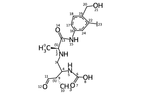 C[C@H](NCC(NC(=O)O)[C@H](C)C=O)C(=O)Nc1ccc(CO)c(I)c1